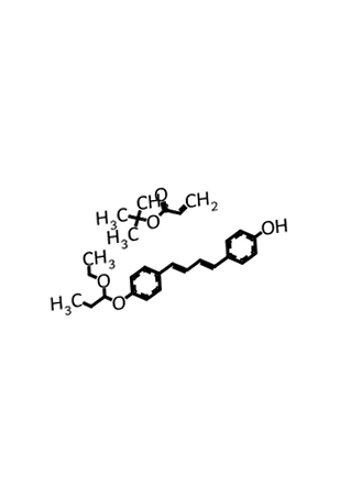 C=CC(=O)OC(C)(C)C.CCOC(CC)Oc1ccc(C=CC=Cc2ccc(O)cc2)cc1